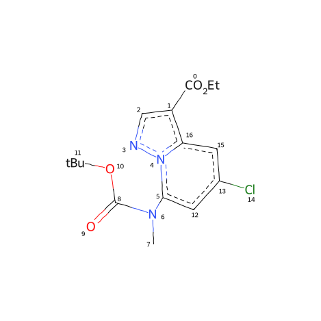 CCOC(=O)c1cnn2c(N(C)C(=O)OC(C)(C)C)cc(Cl)cc12